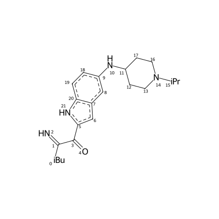 CCC(C)C(=N)C(=O)c1cc2cc(NC3CCN(C(C)C)CC3)ccc2[nH]1